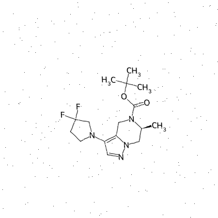 C[C@H]1Cn2ncc(N3CCC(F)(F)C3)c2CN1C(=O)OC(C)(C)C